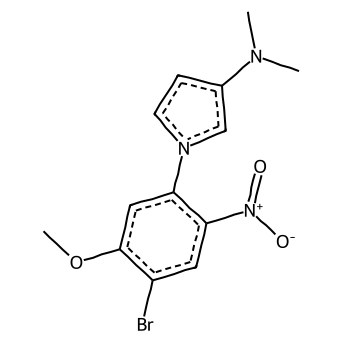 COc1cc(-n2ccc(N(C)C)c2)c([N+](=O)[O-])cc1Br